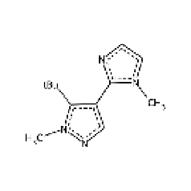 Cn1ccnc1-c1cnn(C)c1C(C)(C)C